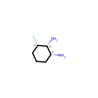 N[C@@H]1[C@H](N)CCC[C@@H]1F